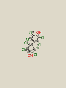 Oc1c(Cl)c(Cl)c(-c2c(Cl)c(Cl)c(O)c(Cl)c2Cl)c(Cl)c1Cl